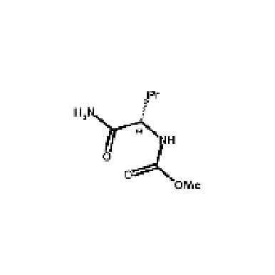 COC(=O)N[C@H](C(N)=O)C(C)C